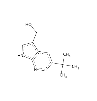 CC(C)(C)c1cnc2[nH]cc(CO)c2c1